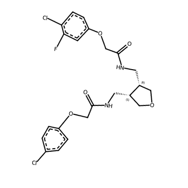 O=C(COc1ccc(Cl)c(F)c1)NC[C@@H]1COC[C@@H]1CNC(=O)COc1ccc(Cl)cc1